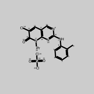 Cc1ccccc1Nc1ncc2cc(Cl)c(=O)n(C(C)C)c2n1.O=S(=O)(Cl)Cl